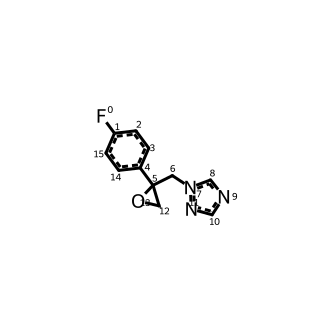 Fc1ccc(C2(Cn3cncn3)CO2)cc1